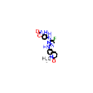 CN1C(=O)CCCc2cc(Nc3ncc(F)c(Nc4ccc5oc(=O)[nH]c5c4)n3)ccc21